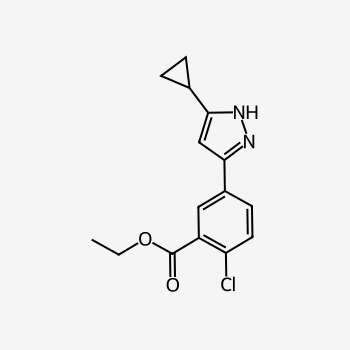 CCOC(=O)c1cc(-c2cc(C3CC3)[nH]n2)ccc1Cl